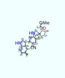 COC(=O)C[C@@H](Nc1nc(-c2c[nH]c3ncc(F)cc23)c(C#N)cc1F)C1(C)CCCC1